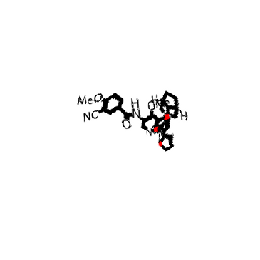 COc1ccc(C(=O)Nc2cnc3c(c(C4[C@@H]5CC[C@H]4CN(C(=O)C4CCCC4)C5)cn3C)c2OC)cc1C#N